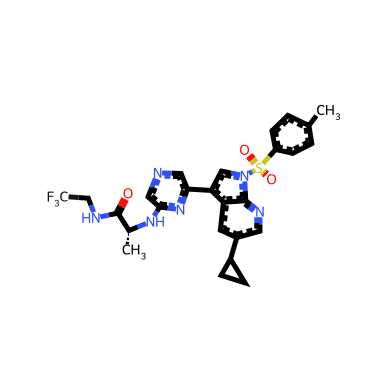 Cc1ccc(S(=O)(=O)n2cc(-c3cncc(N[C@H](C)C(=O)NCC(F)(F)F)n3)c3cc(C4CC4)cnc32)cc1